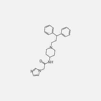 O=C(Cn1ccnc1)NC1CCN(CCC(c2ccccc2)c2ccccc2)CC1